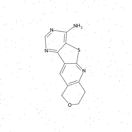 Nc1ncnc2c1sc1nc3c(cc12)COCC3